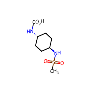 CS(=O)(=O)N[C@H]1CC[C@H](NC(=O)O)CC1